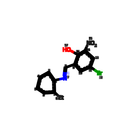 CCc1ccccc1/N=C/c1cc(Br)cc([N+](=O)[O-])c1O